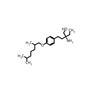 CC[C@@](N)(CO)CCc1ccc(OCC(C)CCCC(C)C)cc1